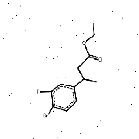 CCOC(=O)CC(C)c1ccc(Br)c(F)c1